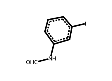 O=CNc1cccc(I)c1